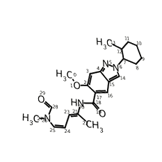 COc1cc2nn(C3CCCCC3C)cc2cc1C(=O)N/C(C)=C/C=C\N(C)C=O